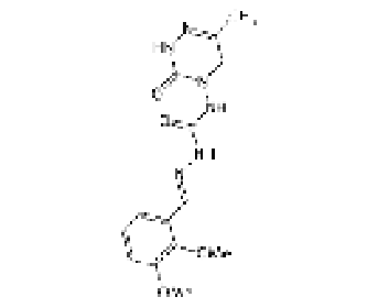 COc1cccc(/C=N/NC(=O)NN2CC(C)=NNC2=O)c1OC